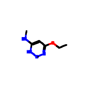 CCOC1=N[N]NC(NC)=C1